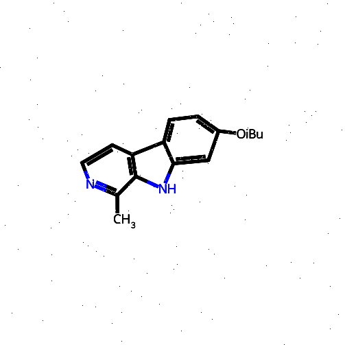 Cc1nccc2c1[nH]c1cc(OCC(C)C)ccc12